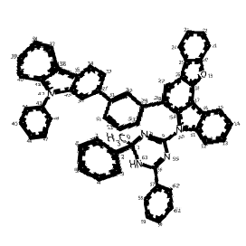 CC1(c2ccccc2)N=C(n2c3ccccc3c3c4oc5ccccc5c4cc(C4C=C(c5ccc6c7ccccc7n(-c7ccccc7)c6c5)C=CC4)c32)N=C(c2ccccc2)N1